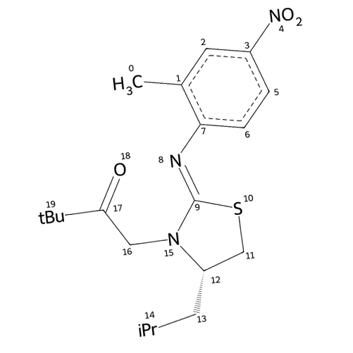 Cc1cc([N+](=O)[O-])ccc1N=C1SC[C@H](CC(C)C)N1CC(=O)C(C)(C)C